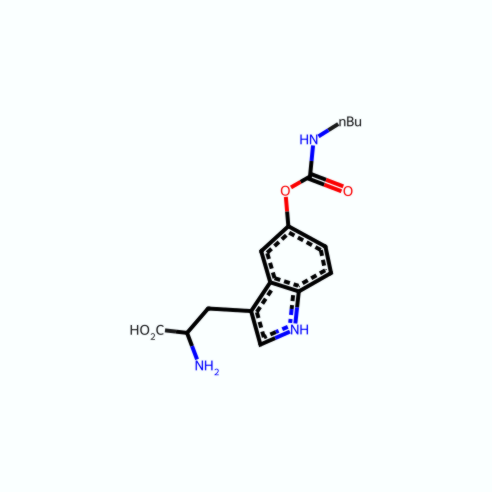 CCCCNC(=O)Oc1ccc2[nH]cc(CC(N)C(=O)O)c2c1